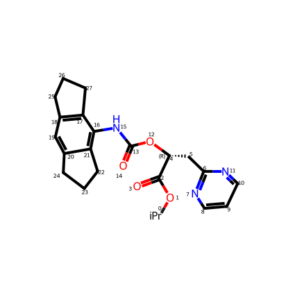 CC(C)OC(=O)[C@@H](Cc1ncccn1)OC(=O)Nc1c2c(cc3c1CCC3)CCC2